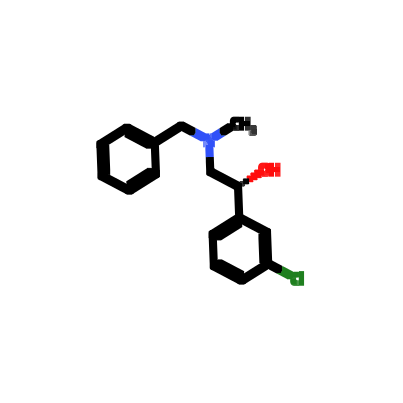 CN(Cc1ccccc1)C[C@H](O)c1cccc(Cl)c1